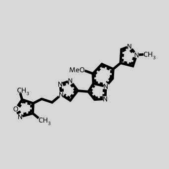 COc1cc(-c2cnn(C)c2)cn2ncc(-c3cn(CCc4c(C)noc4C)nn3)c12